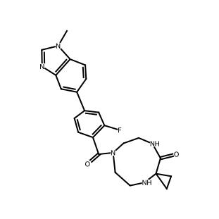 Cn1cnc2cc(-c3ccc(C(=O)N4CCNC(=O)C5(CC5)NCC4)c(F)c3)ccc21